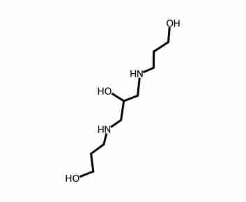 OCCCNCC(O)CNCCCO